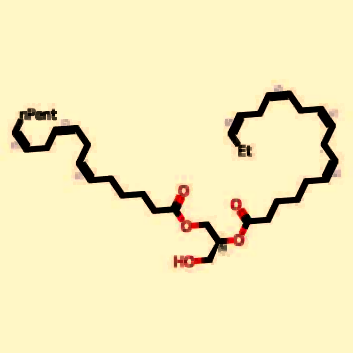 CC/C=C\C/C=C\C/C=C\C/C=C\CCCCC(=O)O[C@@H](CO)COC(=O)CCCC/C=C\C/C=C\C/C=C\CCCCC